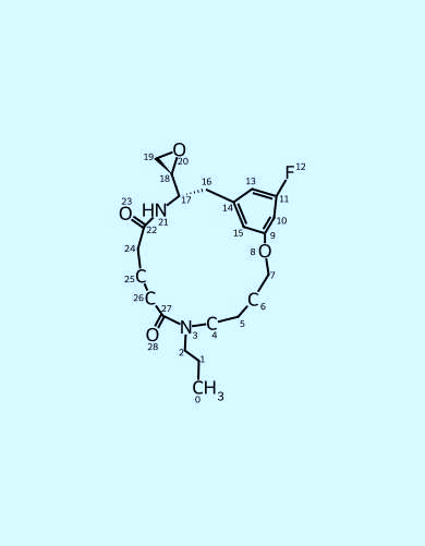 CCCN1CCCCOc2cc(F)cc(c2)C[C@@H]([C@H]2CO2)NC(=O)CCCC1=O